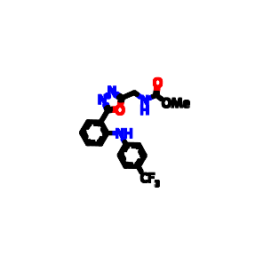 COC(=O)NCc1nnc(-c2ccccc2Nc2ccc(C(F)(F)F)cc2)o1